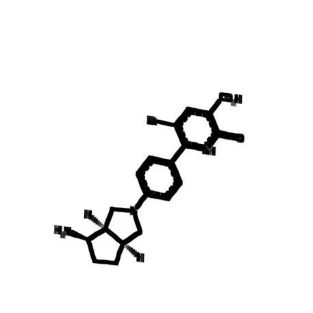 CCc1cc(C(=O)O)c(=O)[nH]c1-c1ccc(N2C[C@H]3CC[C@@H](N)[C@H]3C2)cc1